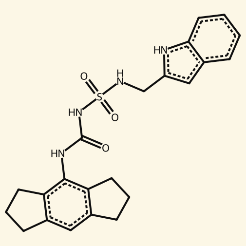 O=C(Nc1c2c(cc3c1CCC3)CCC2)NS(=O)(=O)NCc1cc2ccccc2[nH]1